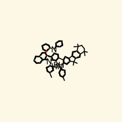 Cc1ccc(Nc2cc3c(cc2-c2cc(N(c4ccccc4)c4ccccc4)c4c5ccc6ccccc6c5n5c4c2Bc2cc(C)ccc2-5)-c2cc4c(cc2C3(C)C)C(C)(C)CCC4(C)C)cc1